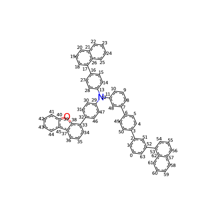 c1cc(-c2ccc(-c3cccc(N(c4ccc(-c5cccc6ccccc56)cc4)c4ccc(-c5cccc6c5oc5ccccc56)cc4)c3)cc2)cc(-c2cccc3ccccc23)c1